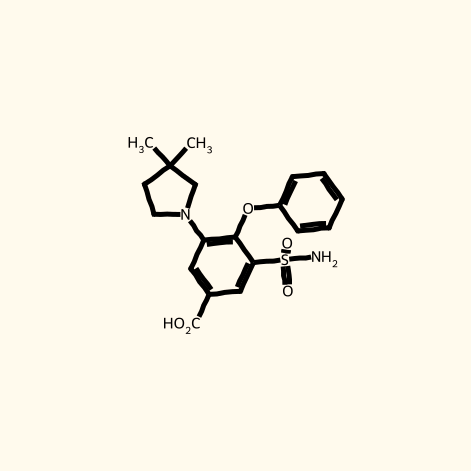 CC1(C)CCN(c2cc(C(=O)O)cc(S(N)(=O)=O)c2Oc2ccccc2)C1